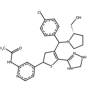 CC(=O)Nc1cc(C2CC(C(c3ccc(Cl)cc3)N3CCC[C@H]3CO)=C(C3=NNCN3)S2)ccn1